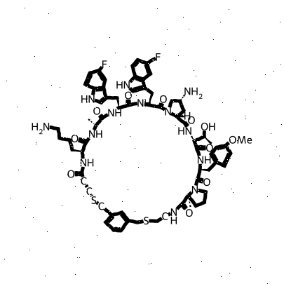 COc1ccc(C[C@@H]2NC(=O)[C@@H]([C@H](C)O)NC(=O)[C@H]3C[C@@H](N)CN3C(=O)[C@H](Cc3c[nH]c4ccc(F)cc34)NC(=O)[C@H](Cc3c[nH]c4ccc(F)cc34)NC(=O)[C@@H](C)NC(=O)[C@H](CCCCN)NC(=O)CCSCc3cccc(c3)CSCCNC(=O)[C@]3(C)CCCN3C2=O)cc1